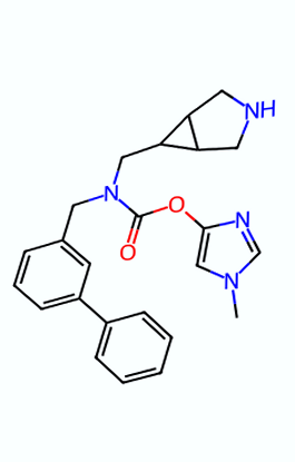 Cn1cnc(OC(=O)N(Cc2cccc(-c3ccccc3)c2)CC2C3CNCC32)c1